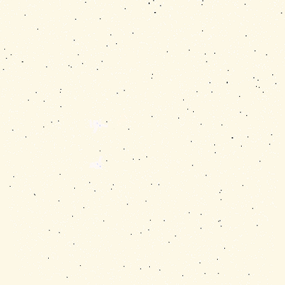 Cc1ccc2c(n1)C(=Cc1sc(Cc3ccccc3)cc1C)C(=O)N2